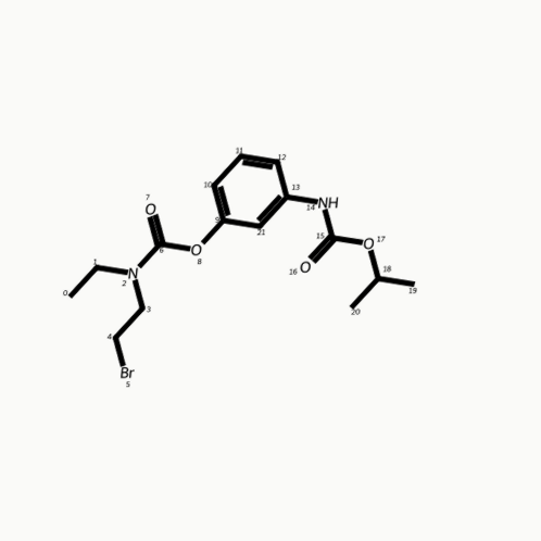 CCN(CCBr)C(=O)Oc1cccc(NC(=O)OC(C)C)c1